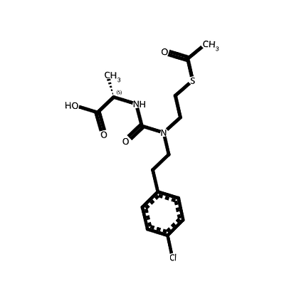 CC(=O)SCCN(CCc1ccc(Cl)cc1)C(=O)N[C@@H](C)C(=O)O